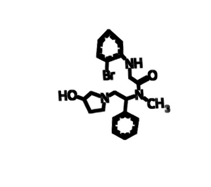 CN(C(=O)CNc1ccccc1Br)C(CN1CCC(O)C1)c1ccccc1